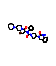 O=C([C@H](CBr)N(C(=O)N1CCC(N2Cc3ccccc3NC2=O)CC1)c1ccccc1)N1CCC(N2CCCCCC2)CC1